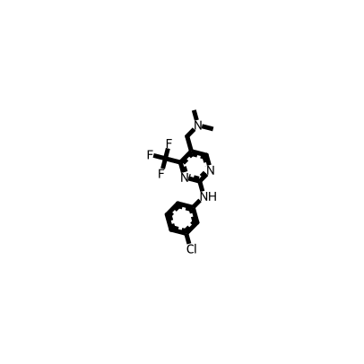 CN(C)Cc1cnc(Nc2cccc(Cl)c2)nc1C(F)(F)F